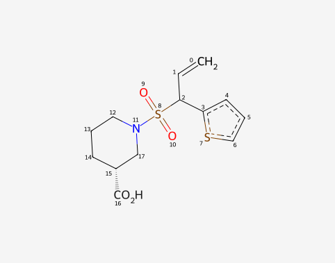 C=CC(c1cccs1)S(=O)(=O)N1CCC[C@@H](C(=O)O)C1